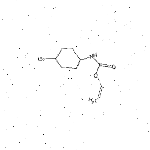 C=COC(=O)NC1CCC(C(C)(C)C)CC1